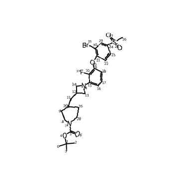 CC(C)(C)OC(=O)N1CCC(CC2CN(c3cccc(Oc4ccc(S(C)(=O)=O)cc4Br)c3F)C2)CC1